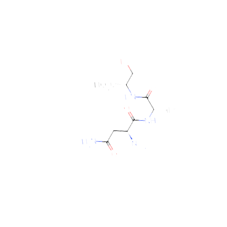 CC(C)[C@H](NC(=O)[C@@H](N)CC(N)=O)C(=O)N[C@@H](CO)C(=O)O